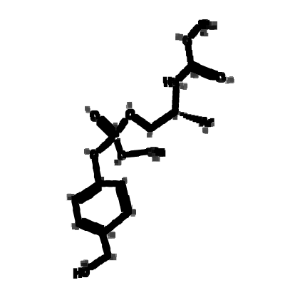 CC(=O)[C@H](COP(=O)(Oc1ccc(CO)cc1)OC(C)(C)C)NC(=O)OC(C)(C)C